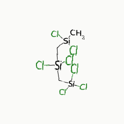 C[Si](Cl)(Cl)C[Si](Cl)(Cl)C[Si](Cl)(Cl)Cl